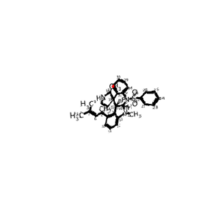 CCC[C@]12c3c([C@H](C)C=C(C)C)cccc3N(C)[C@H]1N(S(=O)(=O)c1ccccc1)c1ccccc1[C@]21CCN[C@@H]1C